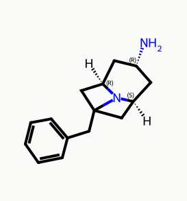 N[C@H]1C[C@@H]2CC3(Cc4ccccc4)C[C@H](C1)N23